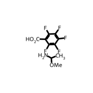 COC(C)N.O=C(O)c1c(F)c(F)c(F)c(F)c1F